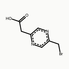 O=C(O)Cc1cnc(CBr)cn1